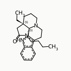 CCCCN1C(=O)C[C@]2(CC)CCCN3CCc4c([nH]c5ccccc45)[C@@]312